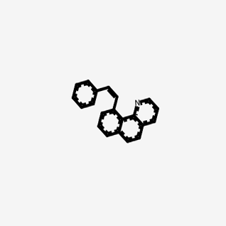 C(=C/c1cccc2ccc3cccnc3c12)/c1ccccc1